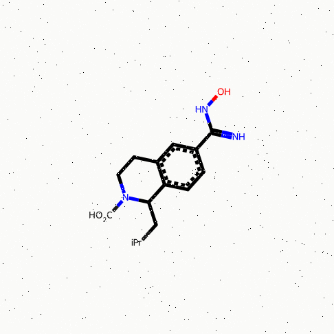 CC(C)CC1c2ccc(C(=N)NO)cc2CCN1C(=O)O